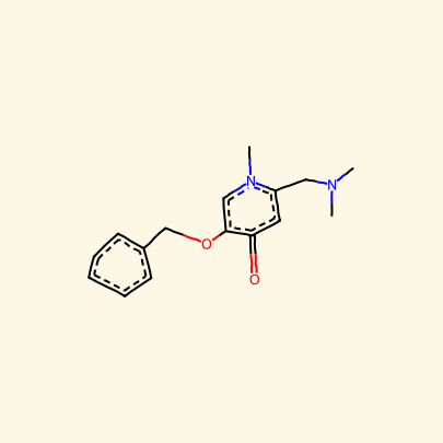 CN(C)Cc1cc(=O)c(OCc2ccccc2)cn1C